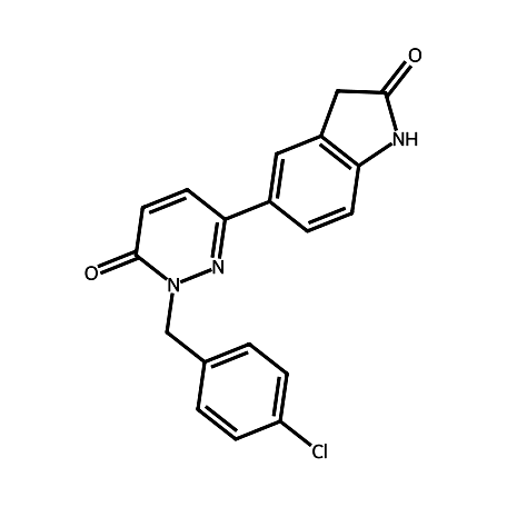 O=C1Cc2cc(-c3ccc(=O)n(Cc4ccc(Cl)cc4)n3)ccc2N1